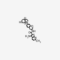 Cc1ccc2c(N)c(C(=O)N[C@H]3COc4cc(N5CC[C@H]6CCNC[C@H]65)ccc4C3)sc2n1